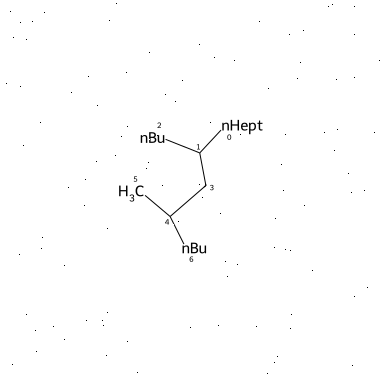 CCCCCCCC(CCCC)CC(C)CCCC